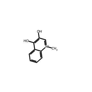 C[n+]1cc(O)c(O)c2ccccc21